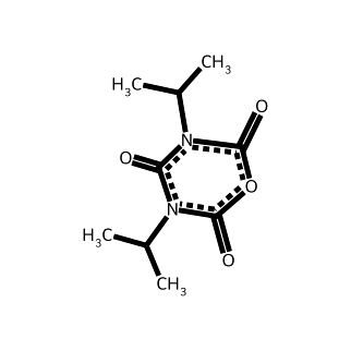 CC(C)n1c(=O)oc(=O)n(C(C)C)c1=O